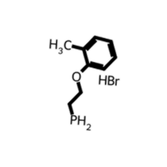 Br.Cc1ccccc1OCCP